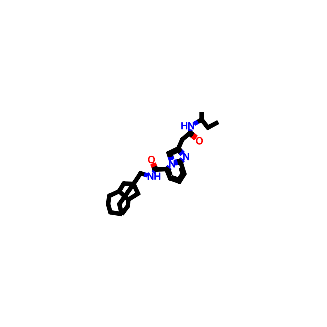 CCC(C)NC(=O)Cc1cn2c(C(=O)NCC34CC5CCCC(C3)C(C5)C4)cccc2n1